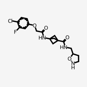 O=C(COc1ccc(Cl)c(F)c1)NC12CC(C(=O)NCC3CCNO3)(C1)C2